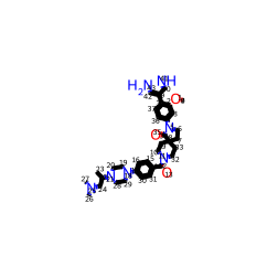 COc1cc(N2CCC3(CCN(C(=O)c4ccc(N5CCN(C(C)CN(C)C)CC5)cc4)CC3)C2=O)ccc1/C(C=N)=C/N